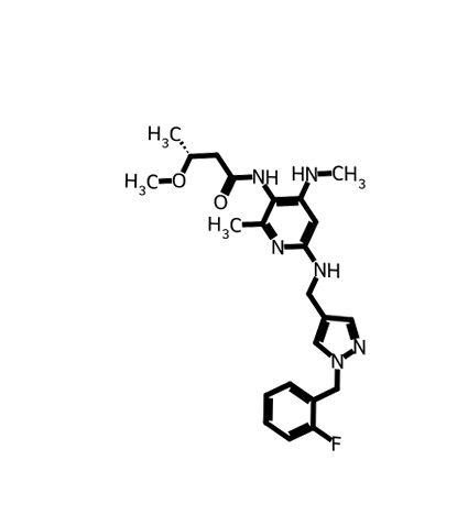 CNc1cc(NCc2cnn(Cc3ccccc3F)c2)nc(C)c1NC(=O)C[C@@H](C)OC